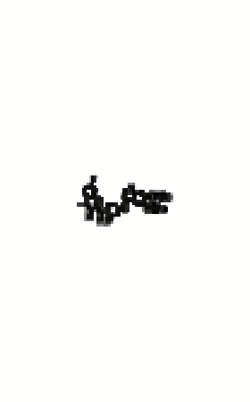 COc1cc2nccc(Oc3ccc(NC(=O)N[C@@H](C)c4ccc(F)cc4)c(F)c3)c2cc1OC